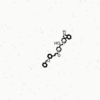 O=C(/C=C/c1cccc(OCc2ccccc2)c1)N1CCC(C(O)CN2CCC3(CC2)CNc2ccccc23)CC1